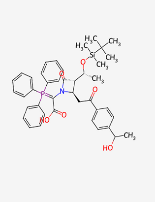 CC(O)c1ccc(C(=O)C[C@@H]2[C@@H]([C@@H](C)O[Si](C)(C)C(C)(C)C)C(=O)N2C(C(=O)O)=P(c2ccccc2)(c2ccccc2)c2ccccc2)cc1